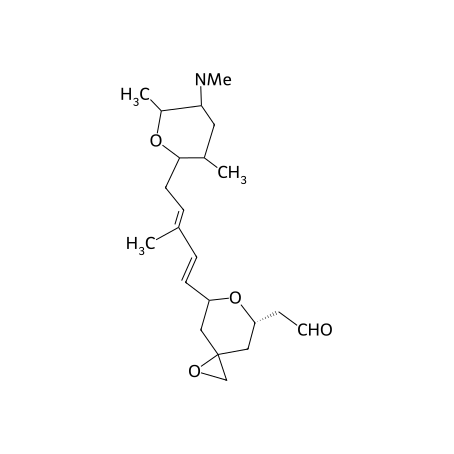 CNC1CC(C)C(C/C=C(C)/C=C/C2CC3(CO3)C[C@@H](CC=O)O2)OC1C